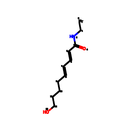 CC(C)CNC(=O)C=CC=CCCCCO